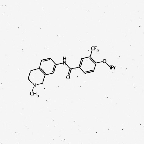 CC(C)Oc1ccc(C(=O)Nc2ccc3c(c2)CN(C)CC3)cc1C(F)(F)F